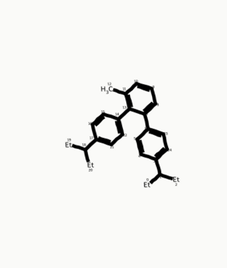 CCC(CC)c1ccc(-c2cccc(C)c2-c2ccc(C(CC)CC)cc2)cc1